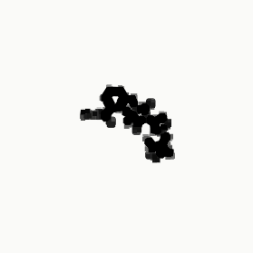 COC(=O)c1cccc(CN2C(=O)N(c3cnn(Cc4c(C)noc4C)c3)C(=O)C2(C)C)c1